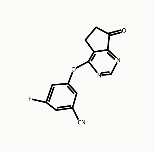 N#Cc1cc(F)cc(Oc2ncnc3c2CCC3=O)c1